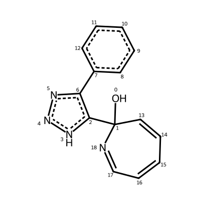 OC1(c2[nH]nnc2-c2ccccc2)C=CC=CC=N1